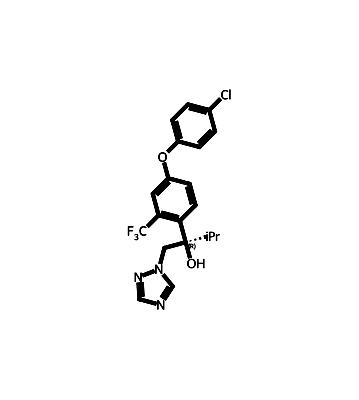 CC(C)[C@](O)(Cn1cncn1)c1ccc(Oc2ccc(Cl)cc2)cc1C(F)(F)F